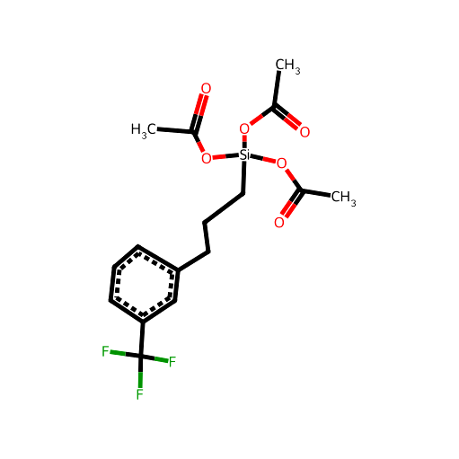 CC(=O)O[Si](CCCc1cccc(C(F)(F)F)c1)(OC(C)=O)OC(C)=O